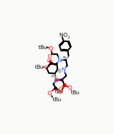 CC(C)(C)OC(=O)CN(CC(=O)OC(C)(C)C)[C@H](Cc1ccc([N+](=O)[O-])cc1)CN(CC(=O)OC(C)(C)C)[C@H]1CCCC[C@@H]1N(CC(=O)OC(C)(C)C)CC(=O)OC(C)(C)C